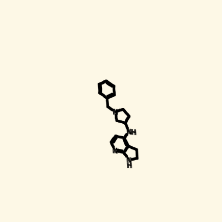 c1ccc(CN2CCC(Nc3ccnc4c3CCN4)C2)cc1